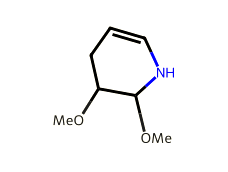 COC1CC=CNC1OC